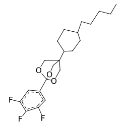 CCCCCC1CCC(C23COC(c4cc(F)c(F)c(F)c4)(OC2)OC3)CC1